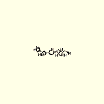 Cn1cc(-c2cc(-c3ccc(N4C[C@H]5C(CC#N)NC[C@H]54)nc3)c[nH]2)cn1